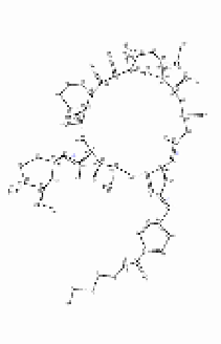 CCCCCNC(=O)c1ccc(/C=C/C[C@@H]2/C=C(\C)C[C@H](C)C[C@H](OC)[C@H]3O[C@@](O)(C(=O)C(=O)N4CCCC[C@H]4C(=O)O[C@H](/C(C)=C/[C@@H]4CC[C@@H](O)[C@H](OC)C4)[C@H](C)[C@@H](O)CC2=O)[C@H](C)C[C@@H]3OC)cc1